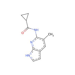 Cc1cc2cc[nH]c2nc1NC(=O)C1CC1